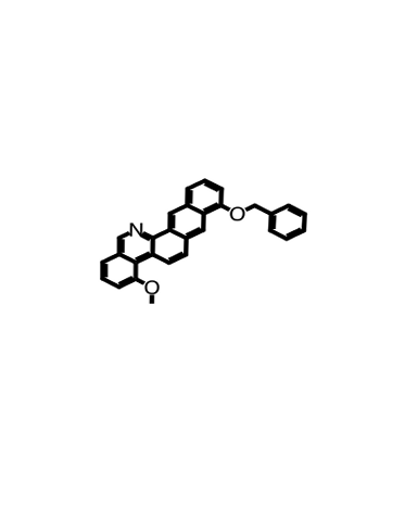 COc1cccc2cnc3c4cc5cccc(OCc6ccccc6)c5cc4ccc3c12